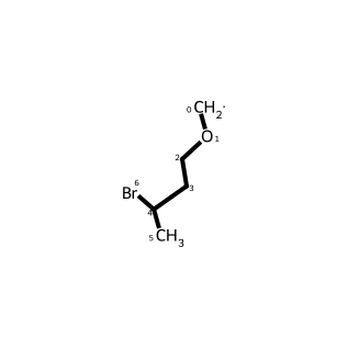 [CH2]OCCC(C)Br